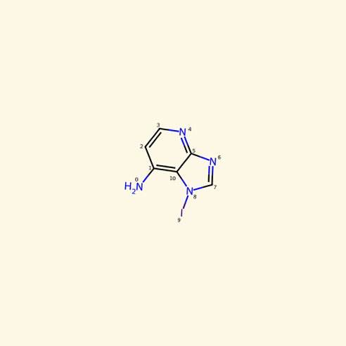 Nc1ccnc2ncn(I)c12